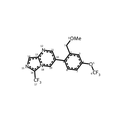 COCc1cc(OC(F)(F)F)ccc1-c1cnc2cnc(C(F)(F)F)n2c1